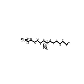 CCCCCCCCCCCCC[CH2][Sb+2].[Br-].[Br-]